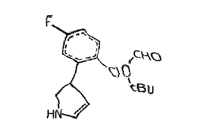 CC(C)(C)OC=O.Fc1ccc(Cl)c(C2C=CNC2)c1